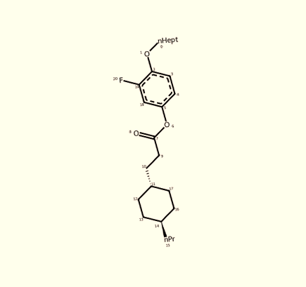 CCCCCCCOc1ccc(OC(=O)CC[C@H]2CC[C@H](CCC)CC2)cc1F